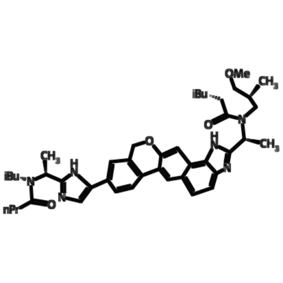 CCCC(=O)N([C@@H](C)CC)[C@@H](C)c1ncc(-c2ccc3c(c2)COc2cc4c(ccc5nc([C@H](C)N(C[C@H](C)COC)C(=O)C[C@@H](C)CC)[nH]c54)cc2-3)[nH]1